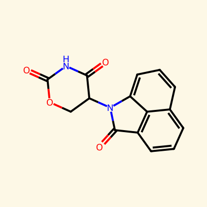 O=C1NC(=O)C(N2C(=O)c3cccc4cccc2c34)CO1